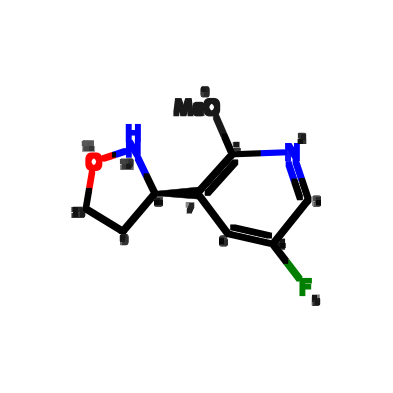 COc1ncc(F)cc1[C@H]1CCON1